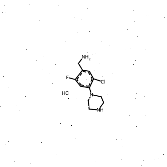 Cl.NCc1cc(Cl)c(N2CCNCC2)cc1F